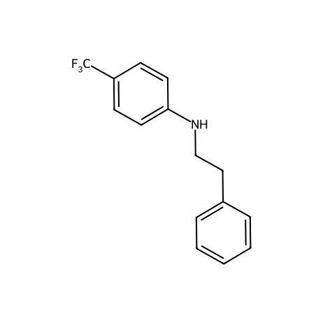 FC(F)(F)c1ccc(NCCc2ccccc2)cc1